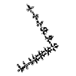 CC[N+](CC)(CC)CC.CC[N+](CC)(CC)CC.CC[N+](CC)(CC)CC.CC[N+](CC)(CC)CC.CC[N+](CC)(CC)CC.CC[N+](CC)(CC)CC.N#[C][Mn](=[O])(=[O])[O-].N#[C][Mn](=[O])(=[O])[O-].N#[C][Mn](=[O])(=[O])[O-].N#[C][Mn](=[O])(=[O])[O-].N#[C][Mn](=[O])(=[O])[O-].N#[C][Mn](=[O])(=[O])[O-]